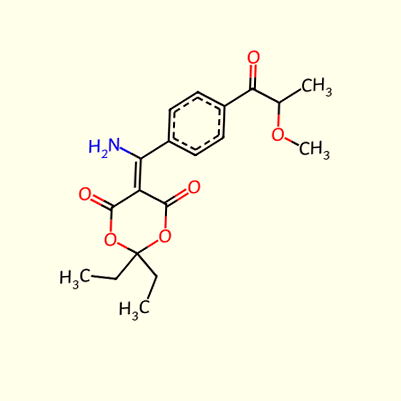 CCC1(CC)OC(=O)C(=C(N)c2ccc(C(=O)C(C)OC)cc2)C(=O)O1